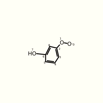 [O]Oc1cccc(O)c1